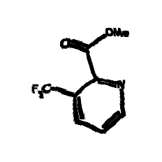 COC(=O)c1ncccc1C(F)(F)F